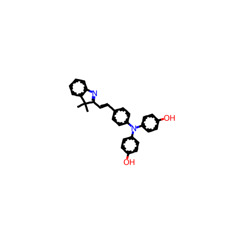 CC1(C)C(C=Cc2ccc(N(c3ccc(O)cc3)c3ccc(O)cc3)cc2)=Nc2ccccc21